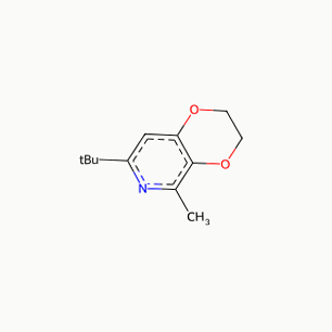 Cc1nc(C(C)(C)C)cc2c1OCCO2